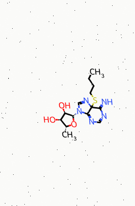 CCCCSC12N=CN([C@@H]3O[C@H](C)[C@@H](O)[C@H]3O)C1=NC=NC2=N